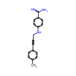 Cc1ccc(C#CCNc2ccc(C(=N)N)cc2)cc1